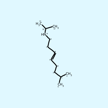 CC(C)CCC=CCCNC(C)C